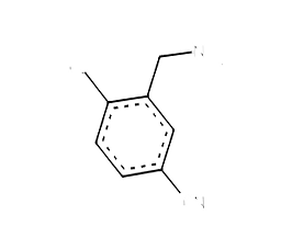 N#Cc1ccc(Cl)c(CN)c1